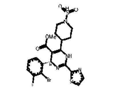 COC(=O)C1=C(C2CCN([SH](=O)=O)CC2)NC(c2nccs2)=N[C@@H]1c1cccc(F)c1Br